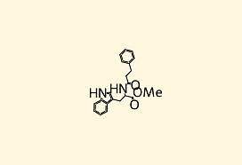 COC(=O)C(Cc1c[nH]c2ccccc12)NC(=O)CCc1ccccc1